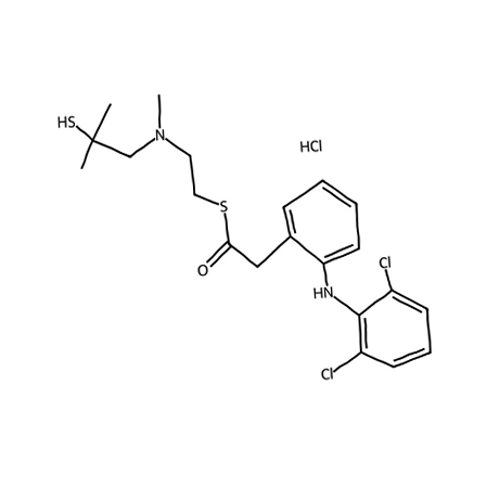 CN(CCSC(=O)Cc1ccccc1Nc1c(Cl)cccc1Cl)CC(C)(C)S.Cl